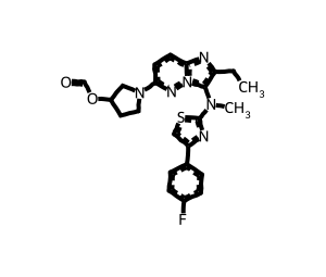 CCc1nc2ccc(N3CCC(OC=O)C3)nn2c1N(C)c1nc(-c2ccc(F)cc2)cs1